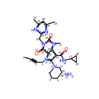 CC#CCn1c(N2CCC[C@@H](N)C2)c(C(=O)NC2CC2)c2c1c(=O)n(Cc1nc(C)cc(C)n1)c(=O)n2C